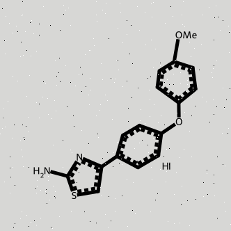 COc1ccc(Oc2ccc(-c3csc(N)n3)cc2)cc1.I